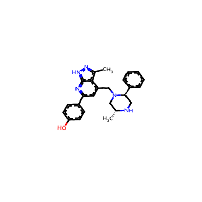 Cc1n[nH]c2nc(-c3ccc(O)cc3)cc(CN3C[C@@H](C)NC[C@@H]3c3ccccc3)c12